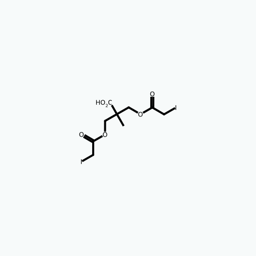 CC(COC(=O)CI)(COC(=O)CI)C(=O)O